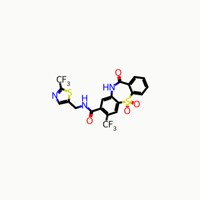 O=C(NCc1cnc(C(F)(F)F)s1)c1cc2c(cc1C(F)(F)F)S(=O)(=O)c1ccccc1C(=O)N2